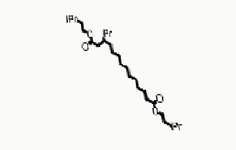 CC(C)CCOC(=O)CCCCCCCCCCC(CC(=O)OCCC(C)C)C(C)C